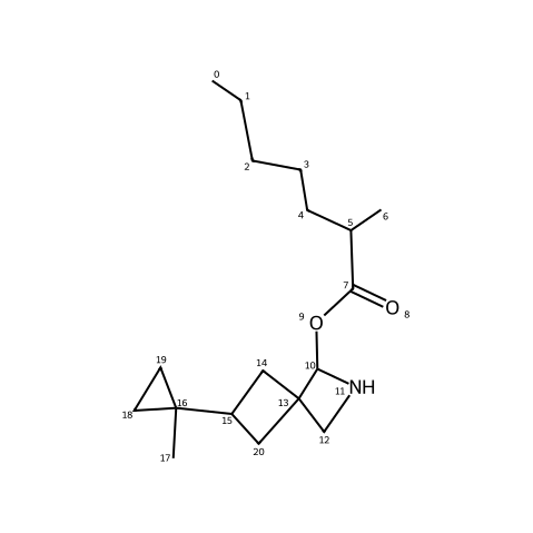 CCCCCC(C)C(=O)OC1NCC12CC(C1(C)CC1)C2